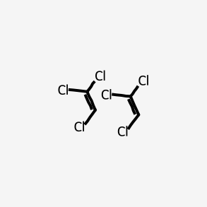 ClC=C(Cl)Cl.ClC=C(Cl)Cl